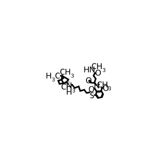 CNC(=O)CCC(C=O)N(C)C(=O)c1c(C=O)cccc1SCCCCCCCN[C@H]1CC2C(C)(C)C23CCC13C